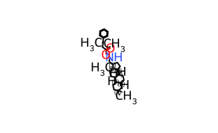 C[C@H]1CC[C@@H]2C3CC[C@]4(C)[C@@H](CNOC(=O)CC(C)(C)c5ccccc5)CC[C@H]4[C@@H]3CC[C@@H]2C1